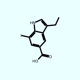 CCc1c[nH]c2c(I)cc(C(=O)O)cc12